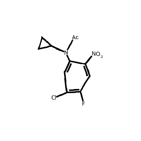 CC(=O)N(c1cc(Cl)c(F)cc1[N+](=O)[O-])C1CC1